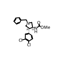 COC(=O)N[C@@H]1CN(Cc2ccccc2)C[C@H]1c1ccc(Cl)c(Cl)c1